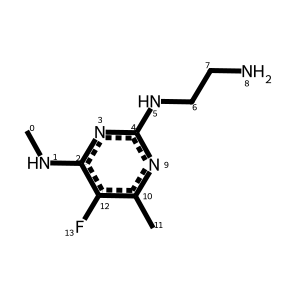 CNc1nc(NCCN)nc(C)c1F